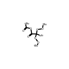 CCCCC(=O)OC(=O)C(CCC)(OOC(C)(C)C)OOC(C)(C)C